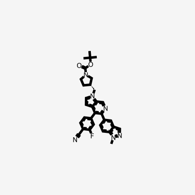 Cn1ncc2cc(-c3ncc4c(ccn4C[C@@H]4CCN(C(=O)OC(C)(C)C)C4)c3-c3ccc(C#N)c(F)c3)ccc21